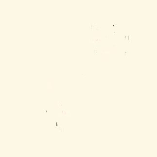 C[C@H](O)c1ccccc1S(=O)(=O)c1ccc2cc(B3OC(C)(C)C(C)(C)O3)ccc2c1